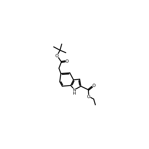 CCOC(=O)c1cc2cc(CC(=O)OC(C)(C)C)ccc2[nH]1